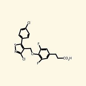 O=C(O)CCc1cc(F)c(OCc2c(Cl)nsc2-c2ccc(Cl)cc2)c(F)c1